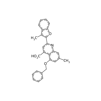 Cc1cc(OCc2ccccc2)c2c(C(=O)O)cc(-c3oc4ccccc4c3C)nc2c1